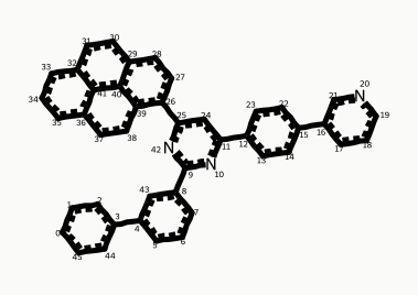 c1ccc(-c2cccc(-c3nc(-c4ccc(-c5cccnc5)cc4)cc(-c4ccc5ccc6cccc7ccc4c5c67)n3)c2)cc1